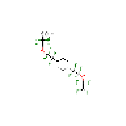 O=S(=O)(O)C(F)(F)C(F)(F)OC(F)(F)C(F)(F)C1CCC(C(F)(F)C(F)(F)OC(F)(F)C(F)F)CC1